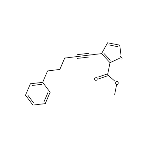 COC(=O)c1sccc1C#CCCCc1ccccc1